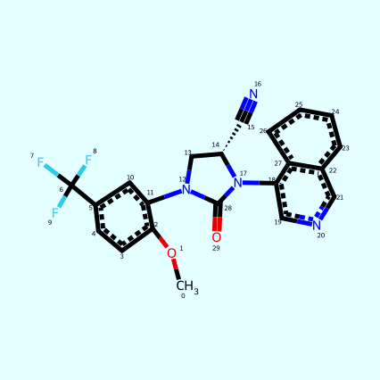 COc1ccc(C(F)(F)F)cc1N1C[C@H](C#N)N(c2cncc3ccccc23)C1=O